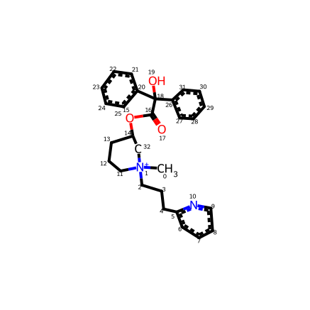 C[N+]1(CCCc2ccccn2)CCCC(OC(=O)C(O)(c2ccccc2)c2ccccc2)C1